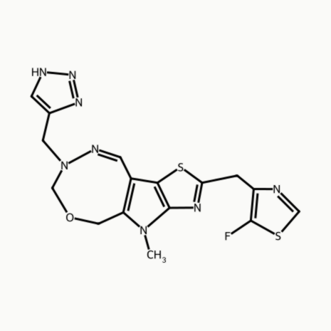 Cn1c2c(c3sc(Cc4ncsc4F)nc31)/C=N\N(Cc1c[nH]nn1)COC2